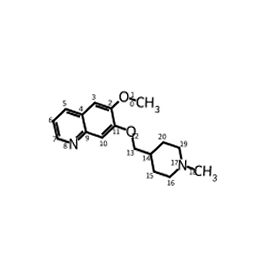 COc1cc2cccnc2cc1OCC1CCN(C)CC1